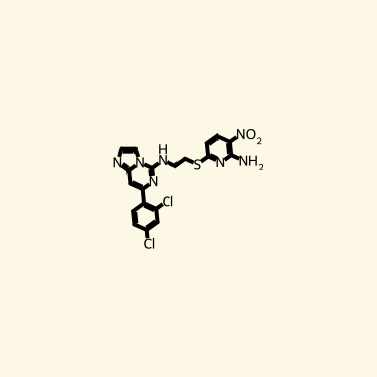 Nc1nc(SCCNc2nc(-c3ccc(Cl)cc3Cl)cc3nccn23)ccc1[N+](=O)[O-]